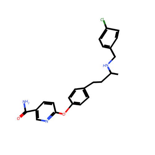 CC(CCc1ccc(Oc2ccc(C(N)=O)cn2)cc1)NCc1ccc(Cl)cc1